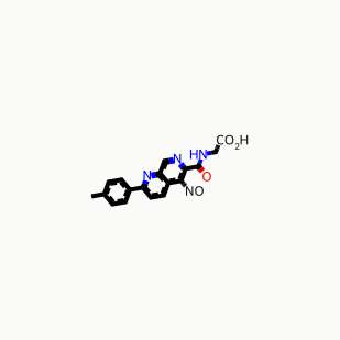 Cc1ccc(-c2ccc3c(N=O)c(C(=O)NCC(=O)O)ncc3n2)cc1